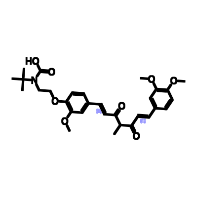 COc1ccc(/C=C/C(=O)C(C)C(=O)/C=C/c2ccc(OCCN(C(=O)O)C(C)(C)C)c(OC)c2)cc1OC